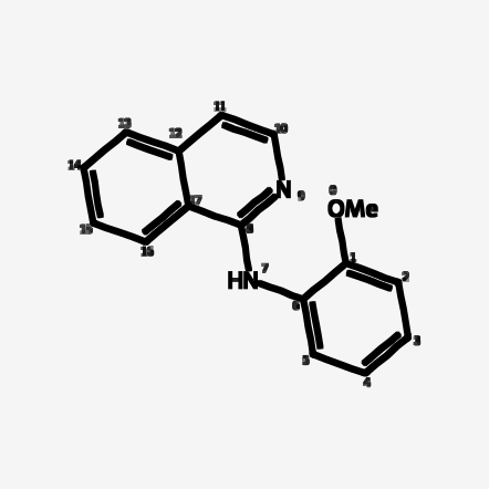 COc1ccccc1Nc1nccc2ccccc12